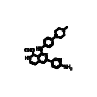 CN1CCN(c2ccc(Nc3nc(-c4ccc(N)nc4)cc4c3C(C=O)NC=C4)cc2)CC1